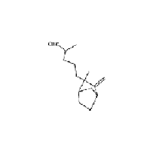 C=C1C2CCC(C2)C1(C)CCCC(C)C=O